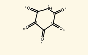 O=c1[nH]c(=O)c(=O)c(=O)c1=O